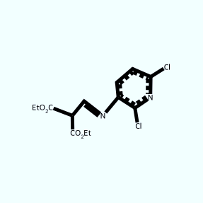 CCOC(=O)C(/C=N/c1ccc(Cl)nc1Cl)C(=O)OCC